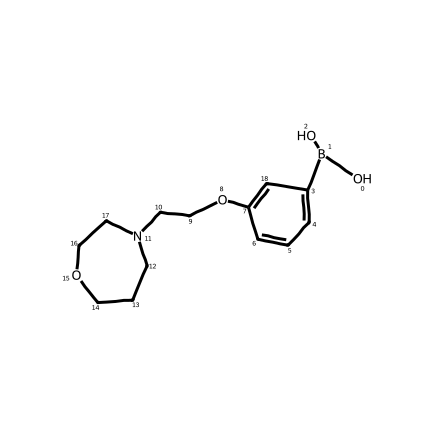 OB(O)c1cccc(OCCN2CCCOCC2)c1